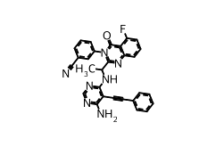 CC(Nc1ncnc(N)c1C#Cc1ccccc1)c1nc2cccc(F)c2c(=O)n1-c1cccc(C#N)c1